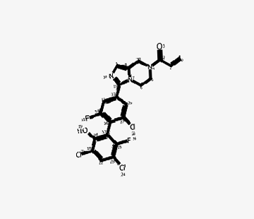 C=CC(=O)N1CCn2c(cnc2-c2cc(F)c(-c3c(O)c(Cl)cc(Cl)c3F)c(Cl)c2)C1